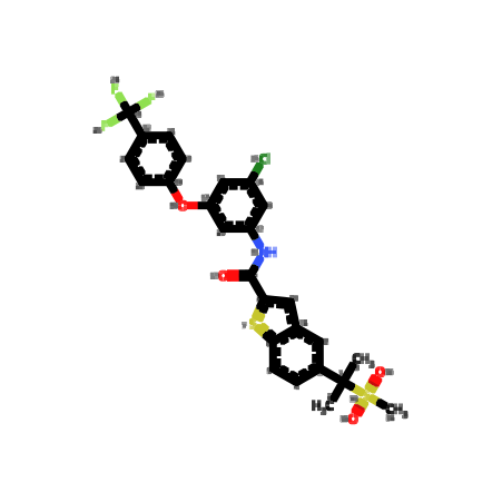 CC(C)(c1ccc2sc(C(=O)Nc3cc(Cl)cc(Oc4ccc(C(F)(F)F)cc4)c3)cc2c1)S(C)(=O)=O